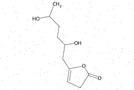 CC(O)CCC(O)CC1=CCC(=O)O1